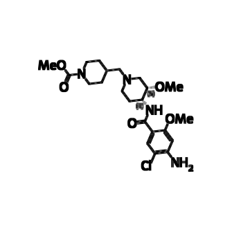 COC(=O)N1CCC(CN2CC[C@@H](NC(=O)c3cc(Cl)c(N)cc3OC)[C@@H](OC)C2)CC1